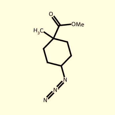 COC(=O)C1(C)CCC(N=[N+]=[N-])CC1